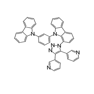 c1cncc(-c2nnn(-c3cccc4c5ccccc5n(-c5cccc(-n6c7ccccc7c7ccccc76)c5)c34)c2-c2cccnc2)c1